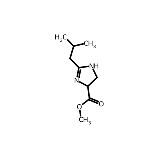 COC(=O)C1CNC(CC(C)C)=N1